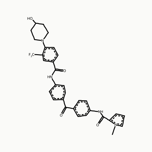 Cn1cccc1C(=O)Nc1ccc(C(=O)c2ccc(NC(=O)c3ccc(N4CCC(O)CC4)c(C(F)(F)F)c3)cc2)cc1